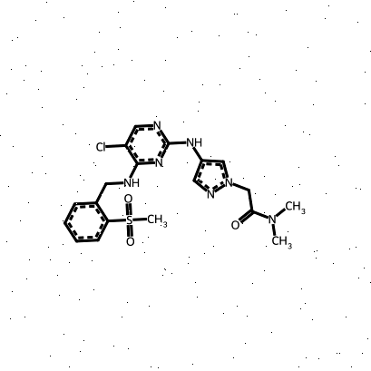 CN(C)C(=O)Cn1cc(Nc2ncc(Cl)c(NCc3ccccc3S(C)(=O)=O)n2)cn1